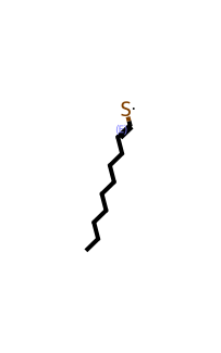 CCCCCCCC/C=C/[S]